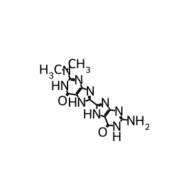 CN(C)c1nc2nc(-c3nc4nc(N)[nH]c(=O)c4[nH]3)[nH]c2c(=O)[nH]1